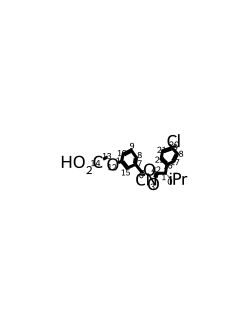 CC(C)[C@H](C(=O)OC(C#N)c1cccc(OCC(=O)O)c1)c1ccc(Cl)cc1